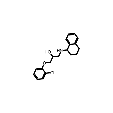 OC(CNC1CCCc2ccccc21)COc1ccccc1Cl